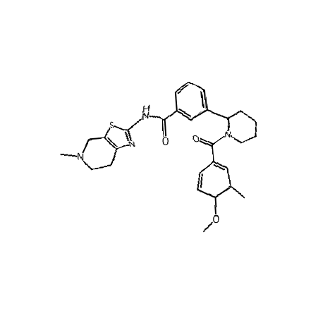 COC1C=CC(C(=O)N2CCCCC2c2cccc(C(=O)Nc3nc4c(s3)CN(C)CC4)c2)=CC1C